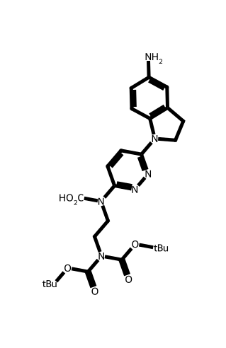 CC(C)(C)OC(=O)N(CCN(C(=O)O)c1ccc(N2CCc3cc(N)ccc32)nn1)C(=O)OC(C)(C)C